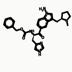 CN1CCC[C@@H]1Cc1cn(N)c2ccc(C(=O)[C@H](Cc3c[nH]cn3)NC(=O)OCc3ccccc3)cc12